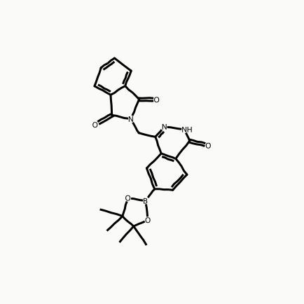 CC1(C)OB(c2ccc3c(=O)[nH]nc(CN4C(=O)c5ccccc5C4=O)c3c2)OC1(C)C